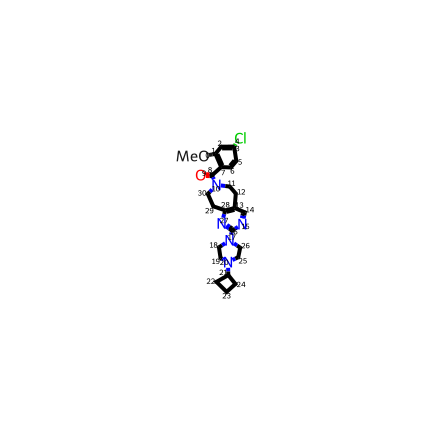 COc1cc(Cl)ccc1C(=O)N1CCc2cnc(N3CCN(C4CCC4)CC3)nc2CC1